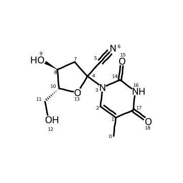 Cc1cn(C2(C#N)C[C@H](O)[C@@H](CO)O2)c(=O)[nH]c1=O